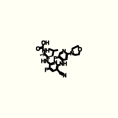 CC(C)C[C@H](Nc1nc(Nc2cc(N3CCOCC3)ncc2F)c(C#N)cc1F)[C@H](C)NC(=O)O